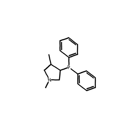 CC1CN(C)CC1P(c1ccccc1)c1ccccc1